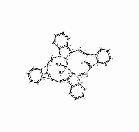 O[Si]1(O)n2c3c4ccccc4c2/N=C2N=C(/N=c4/c5ccccc5/c(n41)=N/C1=NC(=N\3)/c3ccccc31)c1ccccc1\2